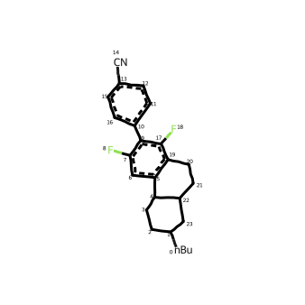 CCCCC1CCC2c3cc(F)c(-c4ccc(C#N)cc4)c(F)c3CCC2C1